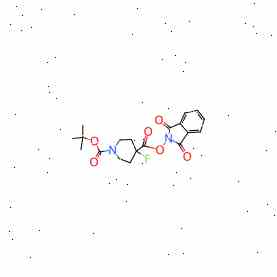 CC(C)(C)OC(=O)N1CCC(F)(C(=O)ON2C(=O)c3ccccc3C2=O)CC1